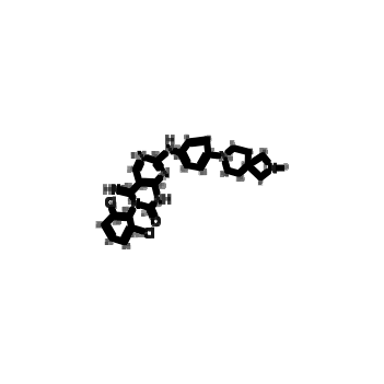 CN1CC2(CCN(c3ccc(Nc4ncc5c(=N)n(-c6c(Cl)cccc6Cl)c(=O)[nH]c5n4)cc3)CC2)C1